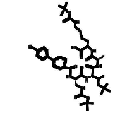 C[C@H](NC(=O)[C@@H](NC(=O)[C@H](CNC(=O)OC(C)(C)C)NC(=O)c1ccc(-c2ccc(Cl)cc2)cc1)[C@@H](C)OC(C)(C)C)C(=O)N[C@@H](CCCCNC(=O)OC(C)(C)C)C(=O)O